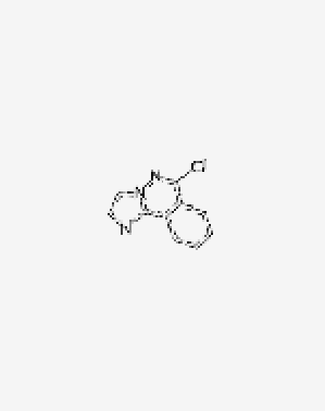 Clc1nn2ccnc2c2ccccc12